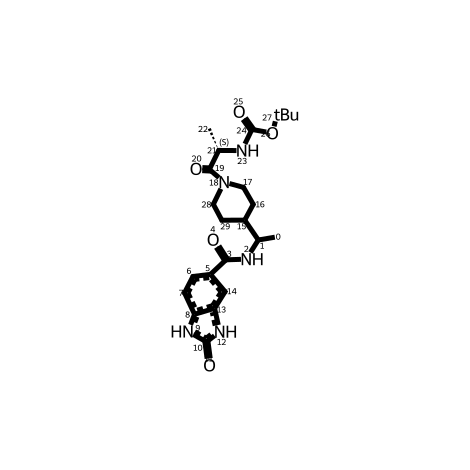 CC(NC(=O)c1ccc2[nH]c(=O)[nH]c2c1)C1CCN(C(=O)[C@H](C)NC(=O)OC(C)(C)C)CC1